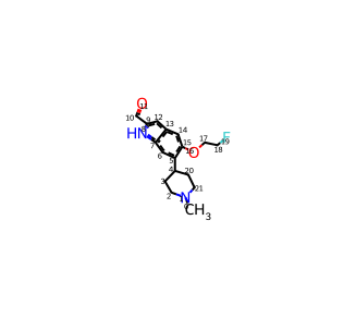 CN1CCC(c2cc3[nH]c(C=O)cc3cc2OCCF)CC1